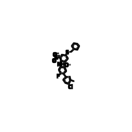 COc1cc(-c2ccc(Cl)c(C)c2)c(F)cc1Nc1ccc(SCc2ccccc2)cc1[N+](=O)[O-]